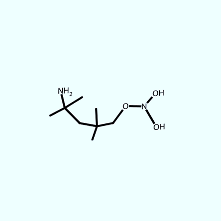 CC(C)(N)CC(C)(C)CON(O)O